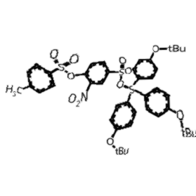 Cc1ccc(S(=O)(=O)Oc2ccc(S(=O)(=O)OS(c3ccc(OC(C)(C)C)cc3)(c3ccc(OC(C)(C)C)cc3)c3ccc(OC(C)(C)C)cc3)cc2[N+](=O)[O-])cc1